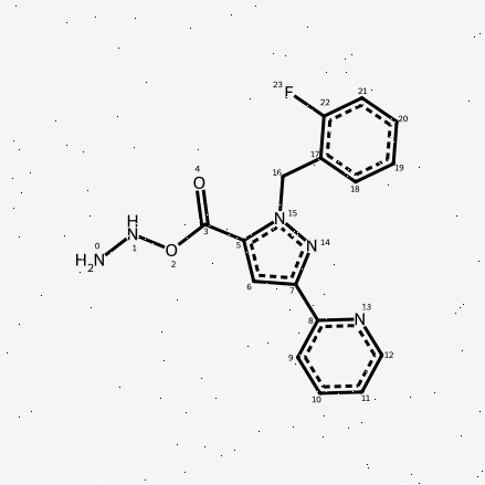 NNOC(=O)c1cc(-c2ccccn2)nn1Cc1ccccc1F